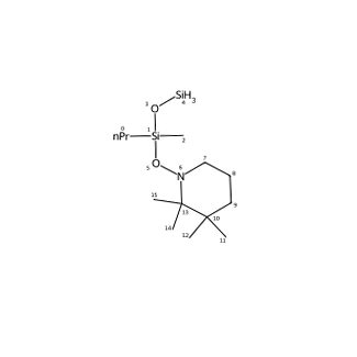 CCC[Si](C)(O[SiH3])ON1CCCC(C)(C)C1(C)C